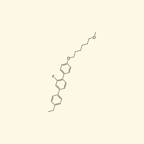 CCc1ccc(-c2ccc(-c3ccc(OCCCCCCOC)cc3)c(F)c2)cc1